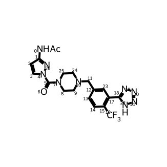 CC(=O)Nc1ccn(C(=O)N2CCN(Cc3ccc(C(F)(F)F)c(-c4nnn[nH]4)c3)CC2)n1